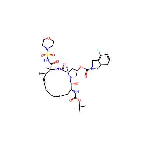 CC(C)(C)OC(=O)N[C@H]1CCCCC/C=C\[C@@H]2C[C@@]2(C(=O)NS(=O)(=O)N2CCOCC2)NC(=O)[C@@H]2C[C@@H](OC(=O)N3Cc4cccc(F)c4C3)CN2C1=O